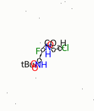 CC(C)(C)OC(=O)Nc1ccc(C#Cc2ccc(CC(NC(=O)c3cccc(-c4ccc(Cl)cc4)c3)C(=O)O)cc2F)cc1